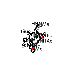 CCSSc1ccccc1OC(=O)C(Cc1ccccc1)NC(=O)CNC(=O)[C@H](COC(C)(C)C)NC(=O)[C@H](CCCNC(=N)NC)NC(=O)C(CC(=O)OC(C)(C)C)NC(=O)[C@H](CCCNC(=N)NC)NC(C)=O